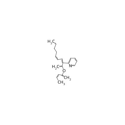 C=CCC/C=C\C=C(/C(=C)OC(=C)/C=C\C)c1ccccn1